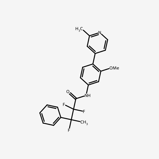 COc1cc(NC(=O)C(F)(F)C(C)(F)c2ccccc2)ccc1-c1ccnc(C)c1